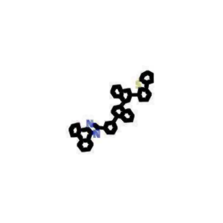 c1cc(-c2cnc3c4ccccc4c4ccccc4c3n2)cc(-c2ccc(-c3cc(-c4cccc5c4sc4ccccc45)cc4ccccc34)c3ccccc23)c1